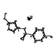 CCn1cc[n+](CC(=O)c2ccc(C)cc2)c1.[Br-]